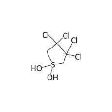 OS1(O)CC(Cl)(Cl)C(Cl)(Cl)C1